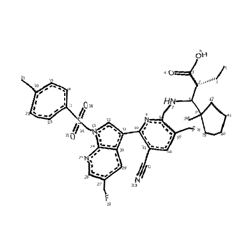 CC[C@@H](C(=O)O)C(Nc1nc(-c2cn(S(=O)(=O)c3ccc(C)cc3)c3ncc(F)cc23)c(C#N)cc1F)C1(C)CCCC1